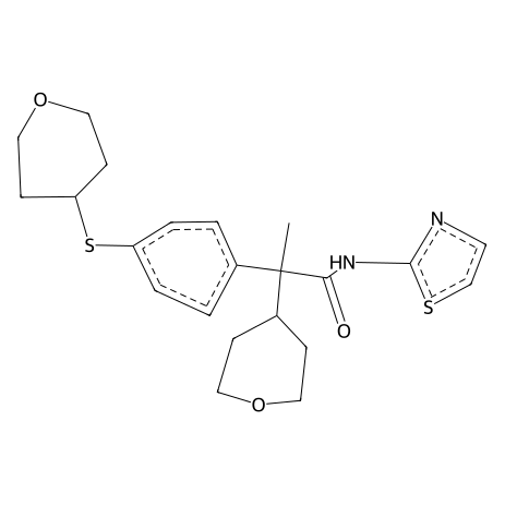 CC(C(=O)Nc1nccs1)(c1ccc(SC2CCOCC2)cc1)C1CCOCC1